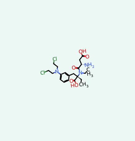 CCN(C(=O)[C@@H](N)CC(=O)O)[C@@](CC)(Cc1cccc(N(CCCl)CCCl)c1)C(=O)O